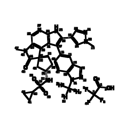 O=C(O)C(F)(F)F.[2H]C([2H])([2H])n1ncc2cc(-c3c(-c4cnn(C)c4)[nH]c4ncc5c(c34)[C@@]3(CC[C@H](NS(=O)(=O)C4CC4)C3)C(=O)N5C)ccc21